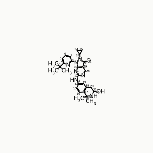 CC(C)(C)c1cccc(-n2c3nc(Nc4ccc5c(c4)CC(O)NC5(C)C)ncc3c(=O)n2C2CC2)n1